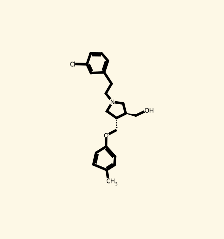 Cc1ccc(OC[C@@H]2CN(CCc3cccc(Cl)c3)C[C@H]2CO)cc1